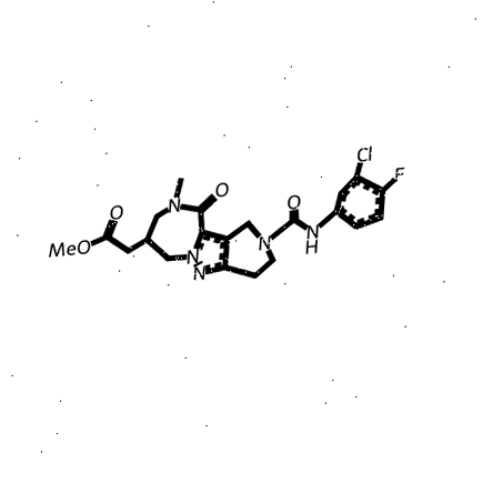 COC(=O)CC1CN(C)C(=O)c2c3c(nn2C1)CCN(C(=O)Nc1ccc(F)c(Cl)c1)C3